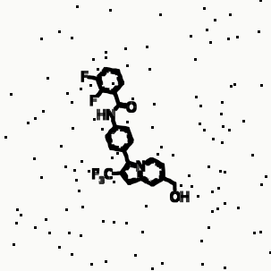 O=C(Nc1ccc(-c2c(C(F)(F)F)cc3cc(CO)ccn23)cc1)c1cccc(F)c1F